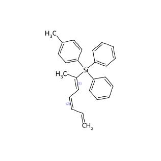 C=C/C=C\C=C(/C)[Si](c1ccccc1)(c1ccccc1)c1ccc(C)cc1